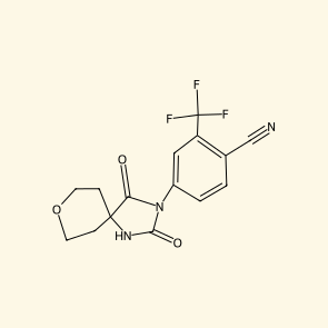 N#Cc1ccc(N2C(=O)NC3(CCOCC3)C2=O)cc1C(F)(F)F